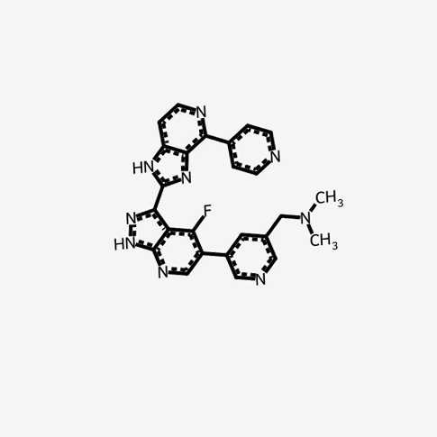 CN(C)Cc1cncc(-c2cnc3[nH]nc(-c4nc5c(-c6ccncc6)nccc5[nH]4)c3c2F)c1